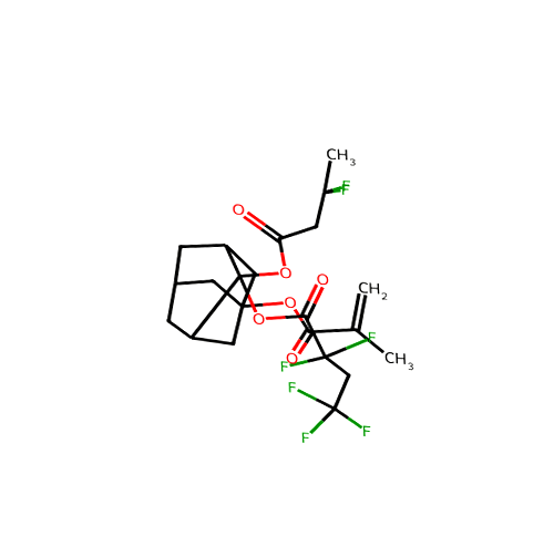 C=C(C)C(=O)OC12CC3CC(C1)C(OC(=O)CC(C)(F)F)(OC(=O)C(F)(F)CC(F)(F)F)C(C3)C2